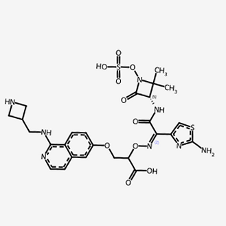 CC1(C)[C@H](NC(=O)/C(=N\OC(COc2ccc3c(NCC4CNC4)nccc3c2)C(=O)O)c2csc(N)n2)C(=O)N1OS(=O)(=O)O